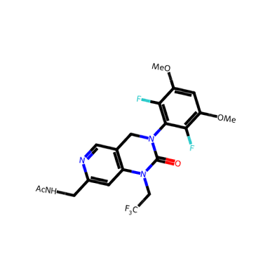 COc1cc(OC)c(F)c(N2Cc3cnc(CNC(C)=O)cc3N(CC(F)(F)F)C2=O)c1F